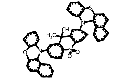 CC1(C)c2cc(N3c4ccccc4Oc4ccc5ccccc5c43)ccc2S(=O)(=O)c2ccc(N3c4ccccc4Sc4ccc5ccccc5c43)cc21